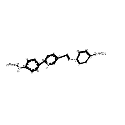 CCCCCCC[C@H]1CC[C@H](CCc2ccc(-c3ccc(OCCCCC)cc3)nc2)CC1